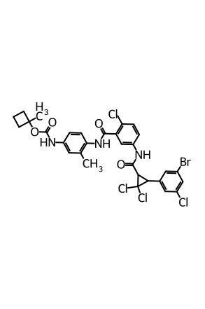 Cc1cc(NC(=O)OC2(C)CCC2)ccc1NC(=O)c1cc(NC(=O)C2C(c3cc(Cl)cc(Br)c3)C2(Cl)Cl)ccc1Cl